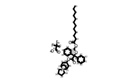 CCCCCCCCCCCC(=O)OCOC(C(=O)OC1CC2CCC(C1)[N+]21CCCC1)(c1ccccc1)c1ccccc1.O=C([O-])C(F)(F)F